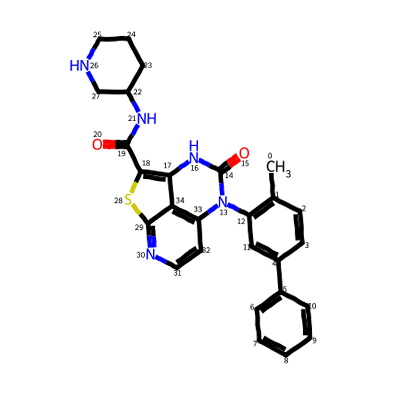 Cc1ccc(-c2ccccc2)cc1N1C(=O)Nc2c(C(=O)NC3CCCNC3)sc3nccc1c23